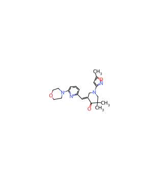 Cc1cc(N2C/C(=C\c3cccc(N4CCOCC4)n3)C(=O)C(C)(C)C2)no1